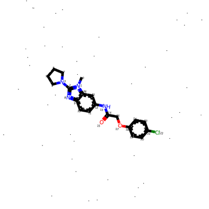 Cn1c(N2CCCC2)nc2ccc(NC(=O)COc3ccc(Cl)cc3)cc21